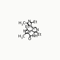 CCC1=C2NC(=O)c3c(C)nc(CC)n3C2N(n2cc(C)nc2CC)C=N1